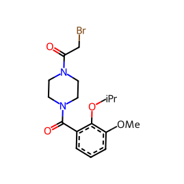 COc1cccc(C(=O)N2CCN(C(=O)CBr)CC2)c1OC(C)C